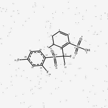 CC1CC=CC(S(=O)(=O)O)=C1C(F)(F)S(=O)(=O)c1ccc(F)cc1F